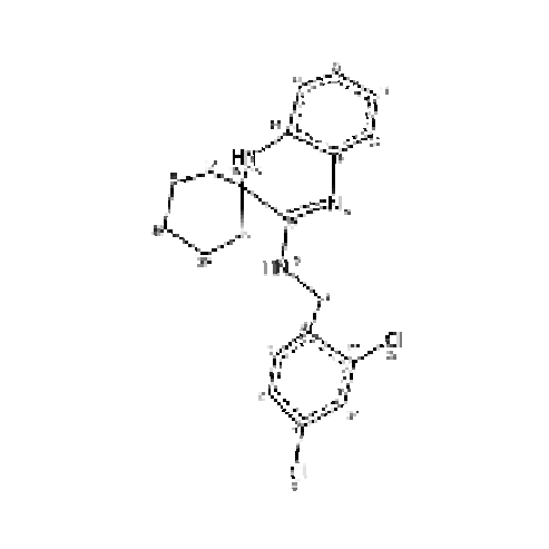 Clc1ccc(CNC2=Nc3ccccc3NC23CCCCC3)c(Cl)c1